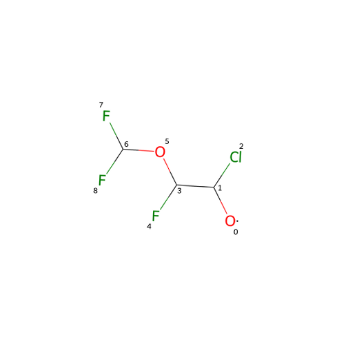 [O]C(Cl)C(F)OC(F)F